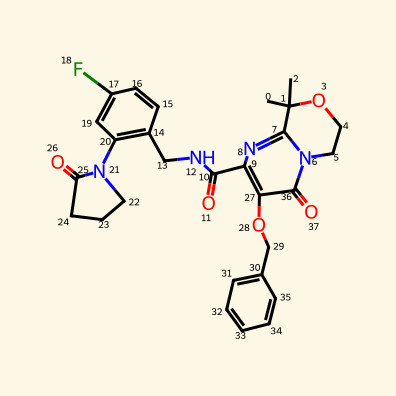 CC1(C)OCCn2c1nc(C(=O)NCc1ccc(F)cc1N1CCCC1=O)c(OCc1ccccc1)c2=O